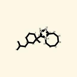 CC(C)CC1CCCC(C)(c2nnc3n2CCCCCC3)C1